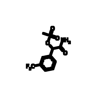 CS(=O)(=O)OC(C(N)=O)c1cccc(C(F)(F)F)c1